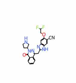 N#Cc1cc2[nH]c(Cc3nn(C4CCNC4)c(=O)c4ccccc34)nc2cc1OCC(F)F